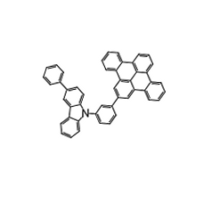 c1ccc(-c2ccc3c(c2)c2ccccc2n3-c2cccc(-c3cc4c5ccccc5c5cccc6c7ccccc7c(c3)c4c56)c2)cc1